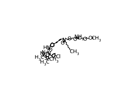 CCCCCCCC(=O)N(CC#CC#Cc1ccc(NC(=O)C[C@@H]2N=C(c3ccc(Cl)cc3)c3c(sc(C)c3C)-n3c(C)nnc32)cc1)CCOCCOC(N)COCCOCCOCC